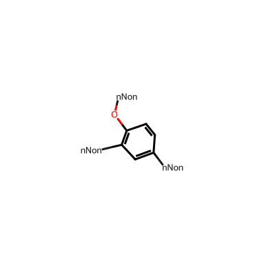 CCCCCCCCCOc1ccc(CCCCCCCCC)cc1CCCCCCCCC